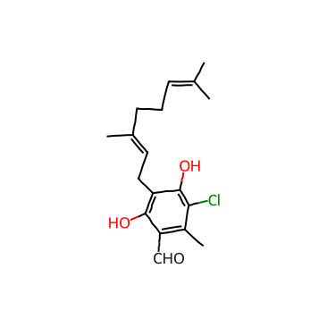 CC(C)=CCC/C(C)=C/Cc1c(O)c(Cl)c(C)c(C=O)c1O